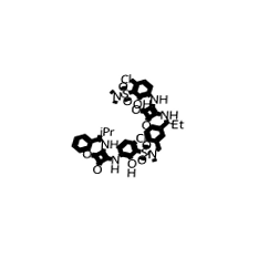 CC[C@@H](Nc1c(Nc2ccc(Cl)c(S(=O)(=O)N(C)C)c2O)c(=O)c1=O)c1cccc(CN(C)S(=O)(=O)c2c(Cl)ccc(Nc3c(NC(c4ccccc4)C(C)C)c(=O)c3=O)c2O)c1